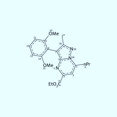 CCCc1cc(C(=O)OCC)nc2c(-c3c(OC)cccc3OC)c(C)nn12